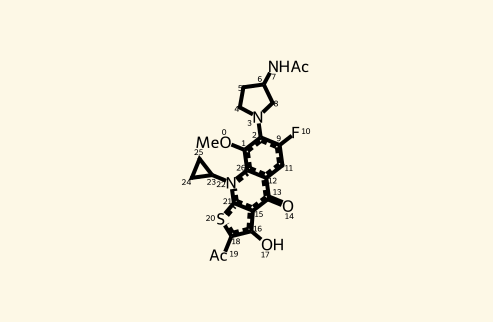 COc1c(N2CCC(NC(C)=O)C2)c(F)cc2c(=O)c3c(O)c(C(C)=O)sc3n(C3CC3)c12